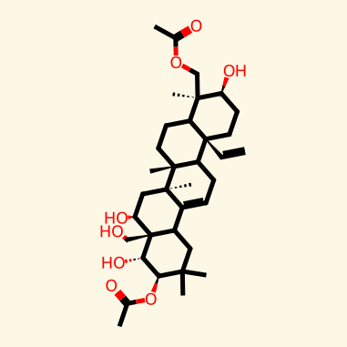 C=C[C@]12CC[C@H](O)[C@](C)(COC(C)=O)C1CC[C@]1(C)C2CC=C2C3CC(C)(C)[C@@H](OC(C)=O)[C@H](O)[C@]3(CO)[C@H](O)C[C@]21C